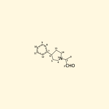 CC(C=O)N1CCC(c2ccccc2)CC1